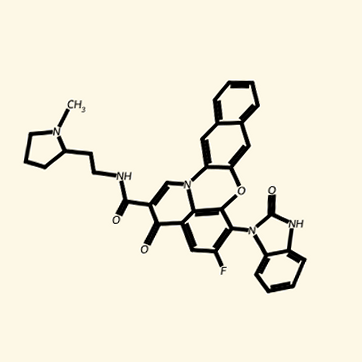 CN1CCCC1CCNC(=O)c1cn2c3c(c(-n4c(=O)[nH]c5ccccc54)c(F)cc3c1=O)Oc1cc3ccccc3cc1-2